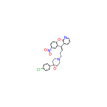 O=[N+]([O-])c1ccc2c(c1)C(=CCCN1CCC3(c4ccc(Cl)cc4)OC3C1)c1cccnc1O2